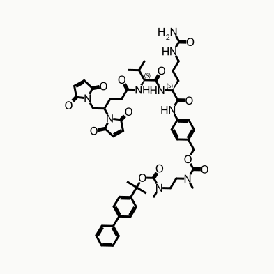 CC(C)[C@H](NC(=O)CCC(CN1C(=O)C=CC1=O)N1C(=O)C=CC1=O)C(=O)N[C@@H](CCCNC(N)=O)C(=O)Nc1ccc(COC(=O)N(C)CCN(C)C(=O)OC(C)(C)c2ccc(-c3ccccc3)cc2)cc1